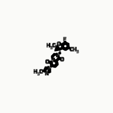 Cc1cc(F)c2c(c1)[C@@]1(CN3CCn4c(ccc(-n5cnc(C)c5)c4=O)C3=O)C[C@@]1(C)O2